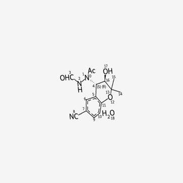 CC(=O)N(NC=O)[C@H]1c2cc(C#N)ccc2OC(C)(C)[C@@H]1O.O